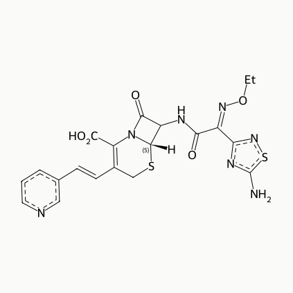 CCON=C(C(=O)NC1C(=O)N2C(C(=O)O)=C(C=Cc3cccnc3)CS[C@@H]12)c1nsc(N)n1